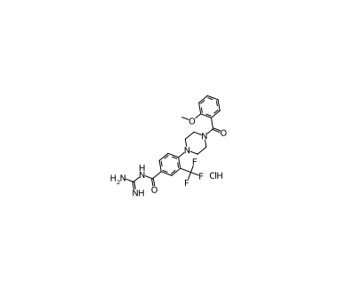 COc1ccccc1C(=O)N1CCN(c2ccc(C(=O)NC(=N)N)cc2C(F)(F)F)CC1.Cl